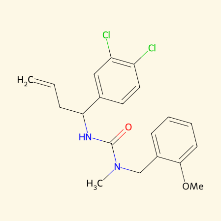 C=CCC(NC(=O)N(C)Cc1ccccc1OC)c1ccc(Cl)c(Cl)c1